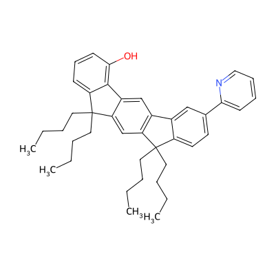 CCCCC1(CCCC)c2ccc(-c3ccccn3)cc2-c2cc3c(cc21)C(CCCC)(CCCC)c1cccc(O)c1-3